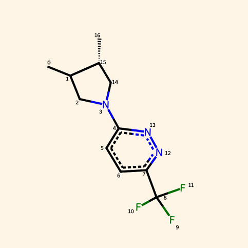 CC1CN(c2ccc(C(F)(F)F)nn2)C[C@H]1C